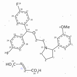 COc1cccc(C2CCCN2CCOC(c2ccc(F)cc2)c2ccc(F)cc2)c1.O=C(O)/C=C/C(=O)O